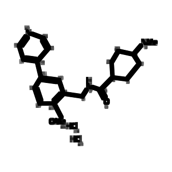 CNC1CCC(C(=O)NCc2cc(-c3ccncc3)ccc2OC)CC1.Cl.Cl